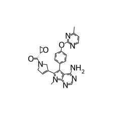 Cc1ccnc(Oc2ccc(-c3c(C4=CCN(C(=O)[C@@H]5CO5)C4)n(C)c4ncnc(N)c34)cc2)n1